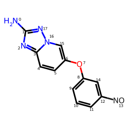 Nc1nc2ccc(Oc3cccc(N=O)c3)cn2n1